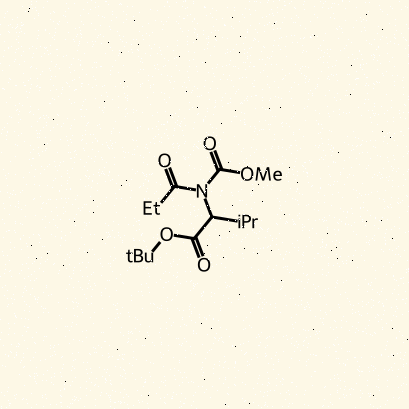 CCC(=O)N(C(=O)OC)C(C(=O)OC(C)(C)C)C(C)C